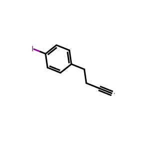 [C]#CCCc1ccc(I)cc1